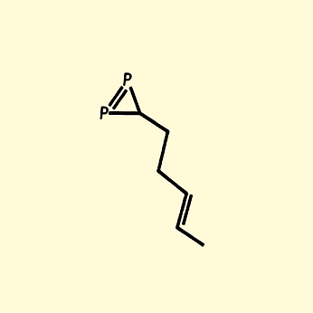 C/C=C/CCC1P=P1